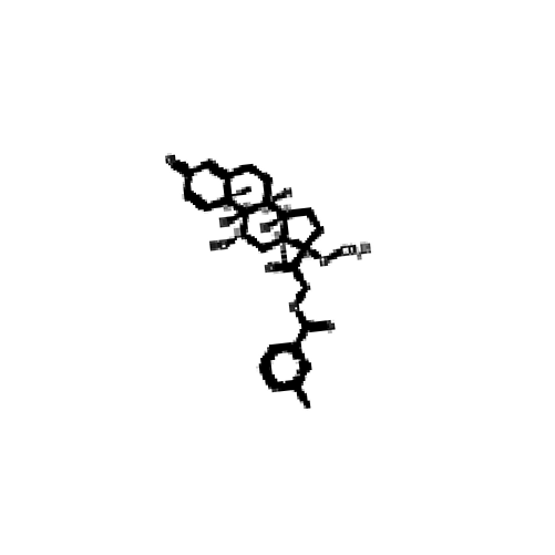 CCOC(=O)O[C@]1(C(=O)COC(=O)c2cccc(C)c2)CC[C@H]2[C@@H]3CCC4=CC(=O)C=C[C@]4(C)[C@H]3[C@@H](O)C[C@@]21C